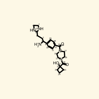 NC(CCC1NCCN1)c1ccc(C(=O)N2CCN(C(=O)C3(O)CCC3)CC2)cc1